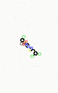 COc1ccc(Cl)cc1S(=O)(=O)N1CCN(c2nc(Cc3cc(Cl)cc(Cl)c3)cs2)CC1